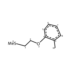 CSCCOc1ccccc1C